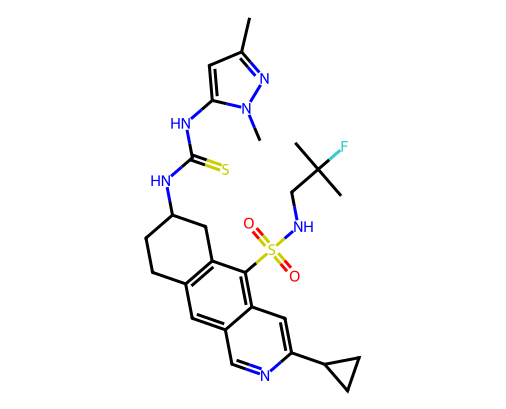 Cc1cc(NC(=S)NC2CCc3cc4cnc(C5CC5)cc4c(S(=O)(=O)NCC(C)(C)F)c3C2)n(C)n1